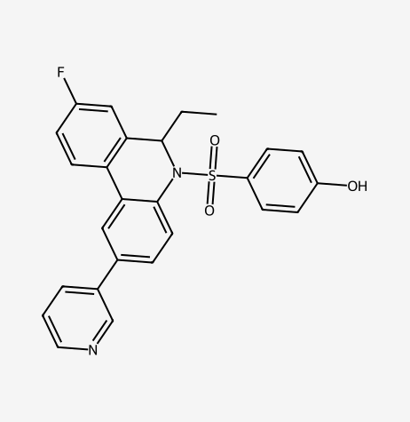 CCC1c2cc(F)ccc2-c2cc(-c3cccnc3)ccc2N1S(=O)(=O)c1ccc(O)cc1